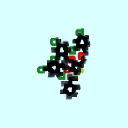 Clc1ccc(COC[C@H]2SC(SCc3ccccc3)[C@@H](OCc3ccc(Cl)cc3Cl)[C@@H]2OCc2ccc(Cl)cc2Cl)c(Cl)c1